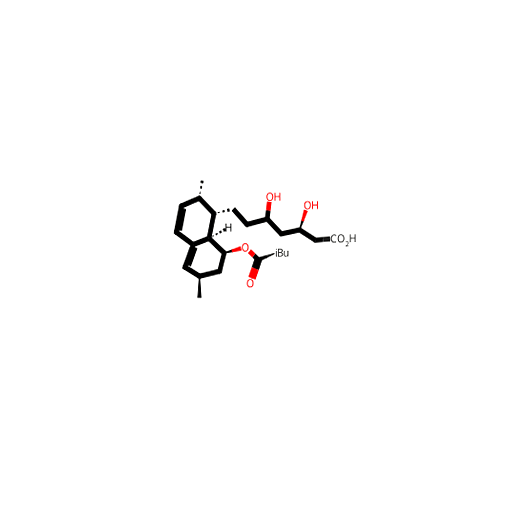 CC[C@H](C)C(=O)O[C@H]1C[C@@H](C)C=C2C=C[C@H](C)[C@H](CCC(O)C[C@@H](O)CC(=O)O)[C@H]21